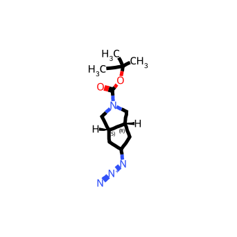 CC(C)(C)OC(=O)N1C[C@H]2CC(N=[N+]=[N-])C[C@H]2C1